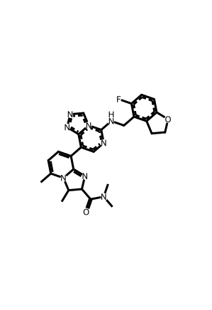 CC1=CC=C(c2cnc(NCc3c(F)ccc4c3CCO4)n3cnnc23)C2=NC(C(=O)N(C)C)C(C)N12